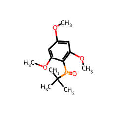 COc1cc(OC)c([P](=O)C(C)(C)C)c(OC)c1